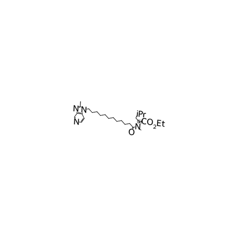 CCOC(=O)[C@H](CC(C)C)N(C)C(=O)CCCCCCCCCCCn1c(C)nc2cnccc21